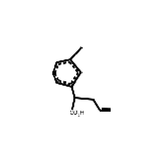 C=CCC(C(=O)O)c1cccc(C)c1